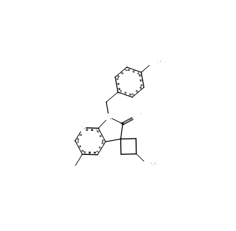 COc1ccc(CN2C(=O)C3(CC(OC)C3)c3cc(Cl)cnc32)cc1